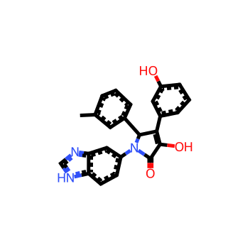 Cc1cccc(C2C(c3cccc(O)c3)=C(O)C(=O)N2c2ccc3[nH]cnc3c2)c1